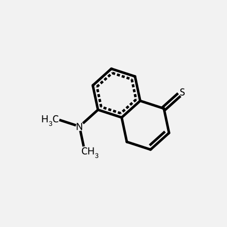 CN(C)c1cccc2c1CC=CC2=S